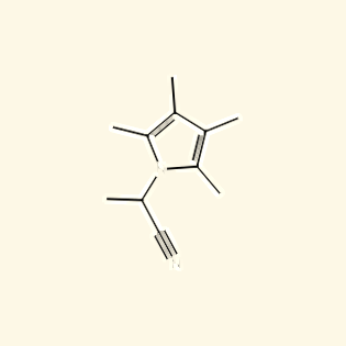 Cc1c(C)c(C)n(C(C)C#N)c1C